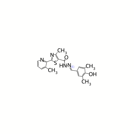 Cc1cccnc1-c1nc(C)c(C(=O)N/N=C/c2cc(C)c(O)c(C)c2)s1